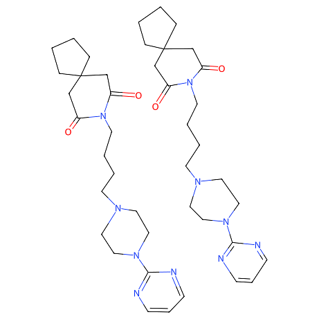 O=C1CC2(CCCC2)CC(=O)N1CCCCN1CCN(c2ncccn2)CC1.O=C1CC2(CCCC2)CC(=O)N1CCCCN1CCN(c2ncccn2)CC1